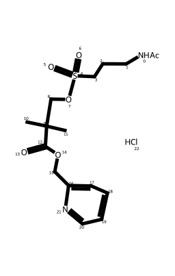 CC(=O)NCCCS(=O)(=O)OCC(C)(C)C(=O)OCc1ccccn1.Cl